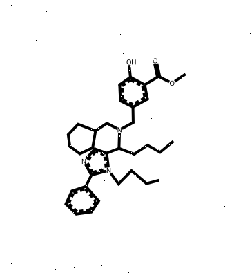 CCCCC(c1cnc(-c2ccccc2)n1CCCC)N(Cc1ccc(O)c(C(=O)OC)c1)CC1CCCCC1